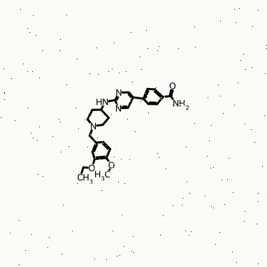 CCOc1cc(CN2CCC(Nc3ncc(-c4ccc(C(N)=O)cc4)cn3)CC2)ccc1OC